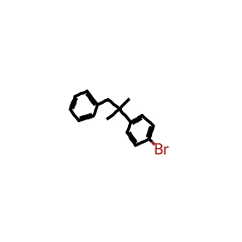 CC(C)(Cc1ccccc1)c1ccc(Br)cc1